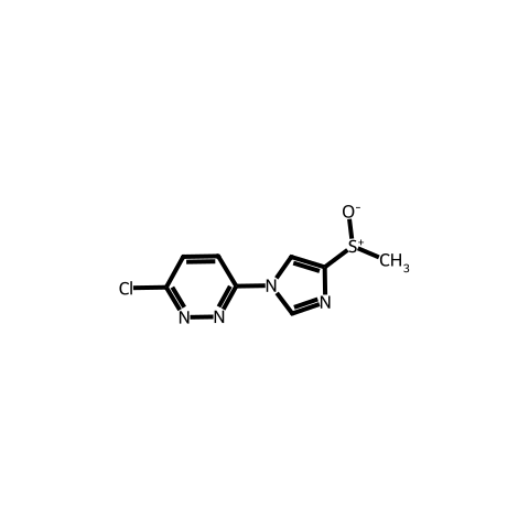 C[S+]([O-])c1cn(-c2ccc(Cl)nn2)cn1